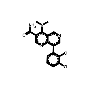 CN(C)c1c(C(N)=O)cnc2c(-c3cccc(Cl)c3Cl)cncc12